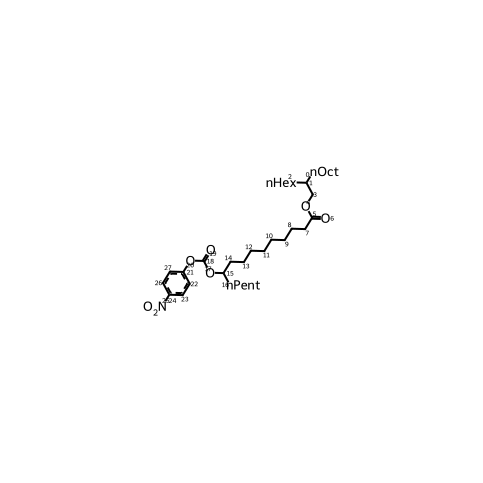 CCCCCCCCC(CCCCCC)COC(=O)CCCCCCCCC(CCCCC)OC(=O)Oc1ccc([N+](=O)[O-])cc1